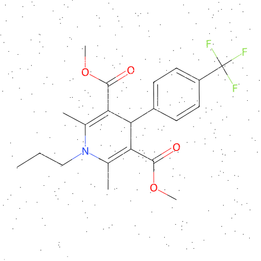 CCCN1C(C)=C(C(=O)OC)C(c2ccc(C(F)(F)F)cc2)C(C(=O)OC)=C1C